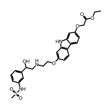 CCOC(=O)COc1ccc2c(c1)[nH]c1cc(OCCNCC(O)c3cccc(NS(C)(=O)=O)c3)ccc12